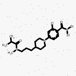 CCN(CC)C(=O)c1ccc(N2CCC(CCCN(C)C(=O)C(C)C(F)(F)F)CC2)cc1Cl